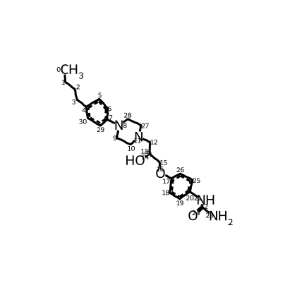 CCCCc1ccc(N2CCN(C[C@H](O)COc3ccc(NC(N)=O)cc3)CC2)cc1